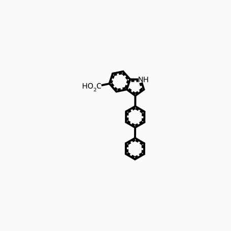 O=C(O)c1ccc2[nH]cc(-c3ccc(-c4ccccc4)cc3)c2c1